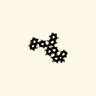 CC1(C)c2ccccc2-c2c(-c3cccc4c(N(c5ccc(-c6cccc7ccccc67)cc5)c5ccc6ccccc6c5)cccc34)cccc21